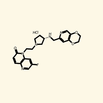 Cl.O=c1ccc2ncc(F)cc2n1CCN1CC[C@H](NCc2cc3c(cn2)OCCO3)C1